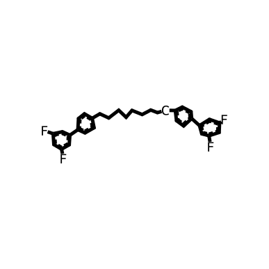 Fc1cc(F)cc(-c2ccc(CCCCCCCCCc3ccc(-c4cc(F)cc(F)c4)cc3)cc2)c1